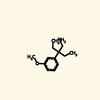 CCC(CC)(CN)c1cccc(OC)c1